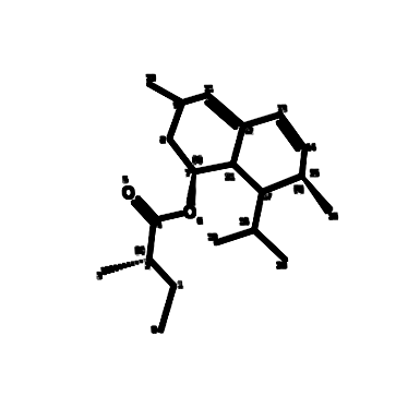 CC[C@H](C)C(=O)O[C@H]1CC(C)C=C2C=C[C@@H](C)C(C(C)C)C21